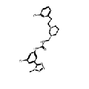 CCc1cc(NC(=O)NC[C@@H]2CCCN(CCc3cccc(Cl)c3)C2)cc(-c2nnnn2C)c1